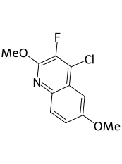 COc1ccc2nc(OC)c(F)c(Cl)c2c1